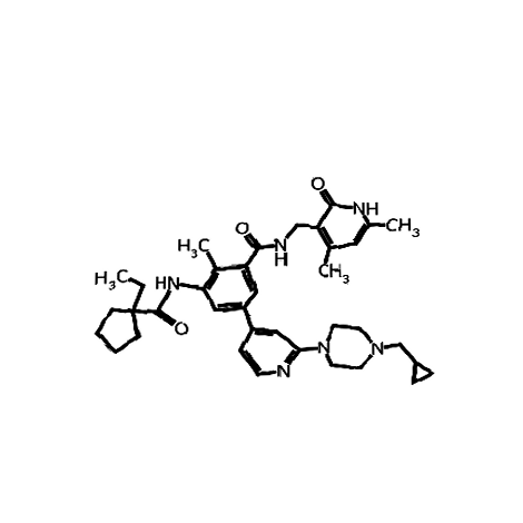 CCC1(C(=O)Nc2cc(-c3ccnc(N4CCN(CC5CC5)CC4)c3)cc(C(=O)NCc3c(C)cc(C)[nH]c3=O)c2C)CCCC1